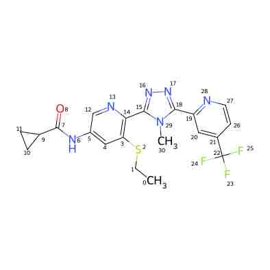 CCSc1cc(NC(=O)C2CC2)cnc1-c1nnc(-c2cc(C(F)(F)F)ccn2)n1C